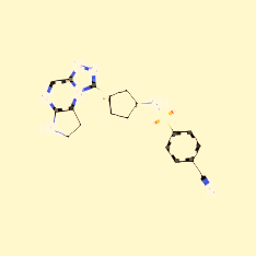 N#Cc1ccc(S(=O)(=O)N[C@H]2CC[C@@H](c3nnc4cnc5c(n34)CCN5)C2)cc1